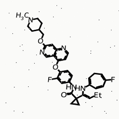 CCC=C(NC1=CCC=C(F)C=C1)C1(C(=O)Nc2ccc(Oc3ccnc4cc(OCC5CCN(C)CC5)ncc34)c(F)c2)CC1